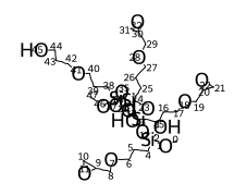 CO[Si](O)(CCCOCC1CO1)O[Si](O)(CCCOCC1CO1)O[Si](CCCOCC1CO1)(OC)O[Si](O)(CCCOCCCO)OC